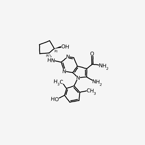 Cc1ccc(O)c(C)c1-n1c(N)c(C(N)=O)c2cnc(N[C@@H]3CCC[C@H]3O)nc21